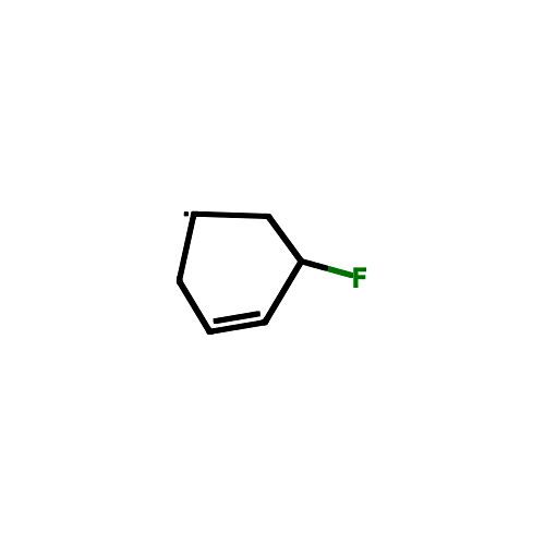 FC1C=CC[CH]C1